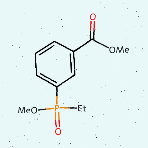 CCP(=O)(OC)c1cccc(C(=O)OC)c1